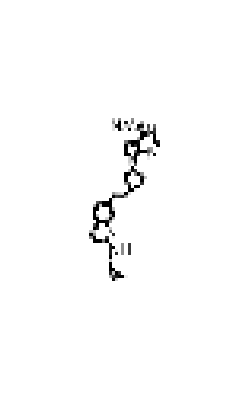 CNc1ncnc2c1ccn2C1CCC(CCc2ccc3ccc(NCC4CC4)nc3c2)C1